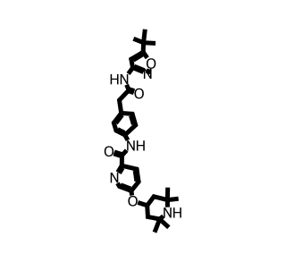 CC1(C)CC(Oc2ccc(C(=O)Nc3ccc(CC(=O)Nc4cc(C(C)(C)C)on4)cc3)nc2)CC(C)(C)N1